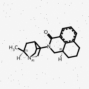 C[C@H]1CC2CC[N@@]1CC2N1C[C@@H]2CCCc3cccc(c32)C1=O